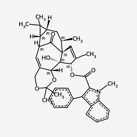 CC1=C[C@]23C(=O)[C@@H](C=C4COC(C)(C)O[C@H]4[C@]2(O)[C@H]1OC(=O)c1c(-c2ccccc2)c2ccccc2n1C)[C@H]1[C@@H](C[C@H]3C)C1(C)C